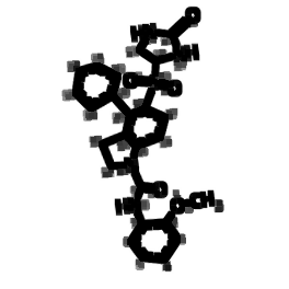 COc1ccccc1NC(=O)N1CCc2c1ccc(S(=O)(=O)C1CNC(=O)N1)c2-c1ccccc1